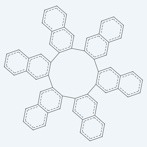 c1ccc2cc3c(cc2c1)-c1cc2ccccc2cc1-c1cc2ccccc2cc1-c1cc2ccccc2cc1-c1cc2ccccc2cc1-c1cc2ccccc2cc1-3